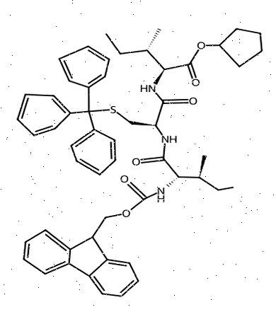 CC[C@H](C)[C@H](NC(=O)OCC1c2ccccc2-c2ccccc21)C(=O)N[C@@H](CSC(c1ccccc1)(c1ccccc1)c1ccccc1)C(=O)N[C@H](C(=O)OC1CCCC1)[C@@H](C)CC